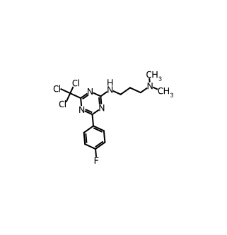 CN(C)CCCNc1nc(-c2ccc(F)cc2)nc(C(Cl)(Cl)Cl)n1